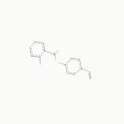 C=Cc1ccc(OC(=O)c2ccccc2N)cc1